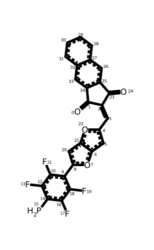 O=C1C(=Cc2cc3oc(-c4c(F)c(F)c(P)c(F)c4F)cc3o2)C(=O)c2cc3ccccc3cc21